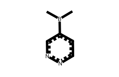 CB(C)c1ccnnc1